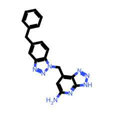 Nc1cc(Cn2nnc3cc(Cc4ccccc4)ccc32)c2nn[nH]c2n1